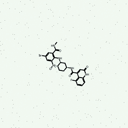 CNC(=O)c1cc(Br)cc([N+](=O)[O-])c1N[C@@H]1CCC[C@H](NC(=O)c2cc(=O)[nH]c3cccc(F)c23)C1